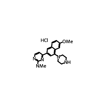 CNc1nccc(-c2cc(N3CCNCC3)c3cc(OC)ccc3c2)n1.Cl